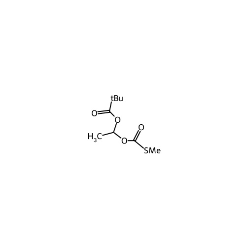 CSC(=O)OC(C)OC(=O)C(C)(C)C